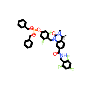 C[C@H]1c2ccc(C(=O)NCc3c(F)cc(F)cc3F)cc2N(Cc2c(F)cc(OP(OCc3ccccc3)OCc3ccccc3)cc2F)C(=O)N1C